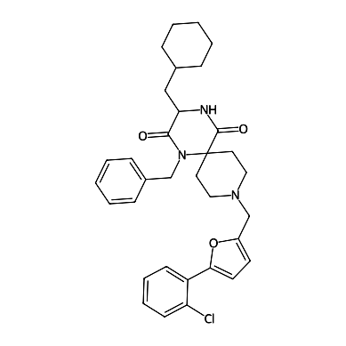 O=C1C(CC2CCCCC2)NC(=O)C2(CCN(Cc3ccc(-c4ccccc4Cl)o3)CC2)N1Cc1ccccc1